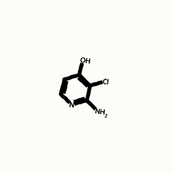 Nc1nccc(O)c1Cl